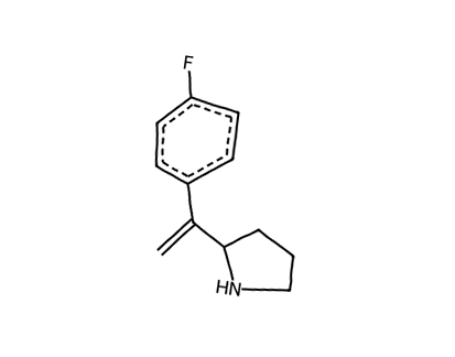 C=C(c1ccc(F)cc1)C1CCCN1